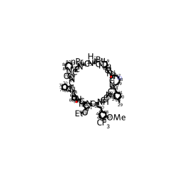 CCC[C@H]1CN[C@@H]([C@@H](C)CC)CN2CCC[C@H]2CN(C)[C@H]2C/C=C\CCN(C2)[C@@H](Cc2ccc(C)cc2)CN(C)CCN[C@@H](CCc2ccc(C(F)(F)F)c(OC)c2)CN2C[C@H](OCC)C[C@H]2CN(C)C2(CCC2)CN(C)[C@@H](C2CCCC2)CN(C)[C@H](C(=O)N2CCCCC2)CCN1C